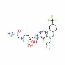 CCN(CC1CCC(C(F)(F)F)CC1)c1ncnc(NCC2(O)CCN(CC(N)=O)C[C@H]2O)c1F